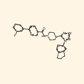 O=C(NC1CCN(c2nnnn2-c2ccc3c(c2)CCC3)CC1)c1ccc(-c2cccc(F)c2)nc1